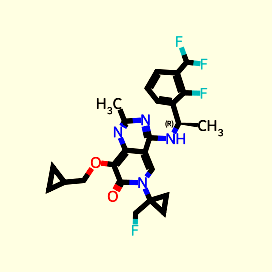 Cc1nc(N[C@H](C)c2cccc(C(F)F)c2F)c2cn(C3(CF)CC3)c(=O)c(OCC3CC3)c2n1